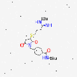 CC(C)(C)NC(=N)CCCSC1CC(=O)N(CC2CCC(C(=O)NC(C)(C)C)CC2)C1=O